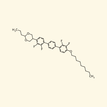 CCCCCCCCCOc1ccc(-c2ccc(-c3ccc(C4COC(CCC)OC4)c(F)c3F)cc2)c(F)c1F